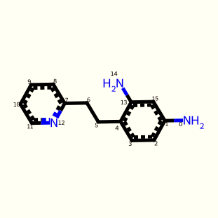 Nc1ccc(CCc2ccccn2)c(N)c1